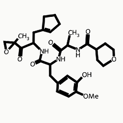 COc1ccc(CC(NC(=O)C(C)NC(=O)C2CCOCC2)C(=O)NC(CC2=CCCC2)C(=O)C2(C)CO2)cc1O